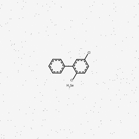 Clc1ccc(Cl)c(-c2ccccc2)c1.[SeH2]